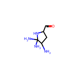 NC1CC(C=O)NC1(N)N